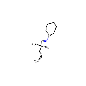 C=CCC(C)(C)/C=N/C1CCCCC1